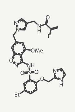 C=C(F)C(=O)NCc1cnn(Cc2cc(OC)c3c(NS(=O)(=O)c4cc(CC)ccc4OCc4ncc[nH]4)noc3c2)c1